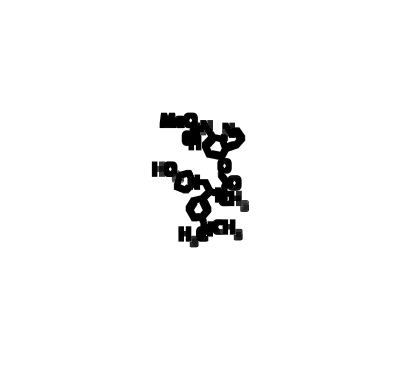 CO[SH](=O)=Nc1ccc(OCC(=O)N(C)C(CN2CC[C@H](O)C2)c2cccc(N(C)C)c2)c2cccnc12